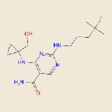 CC(C)(F)CCCNc1ncc(C(N)=O)c(NC2(CO)CC2)n1